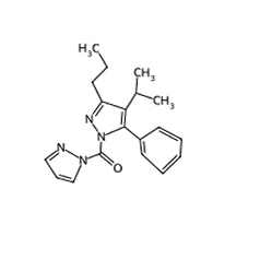 CCCc1nn(C(=O)n2cccn2)c(-c2ccccc2)c1C(C)C